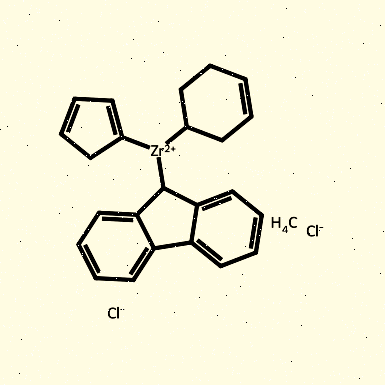 C.C1=CC[C]([Zr+2]([CH]2CC=CCC2)[CH]2c3ccccc3-c3ccccc32)=C1.[Cl-].[Cl-]